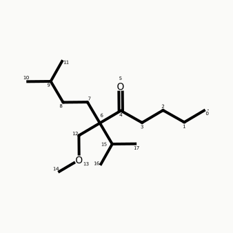 [CH2]CCCC(=O)C(CCC(C)C)(COC)C(C)C